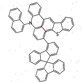 c1ccc(N(c2ccc(-c3cccc4c3-c3ccccc3C43c4ccccc4-c4ccccc43)cc2)c2cccc3ccccc23)c(-c2ccc3sc4ccccc4c3c2)c1